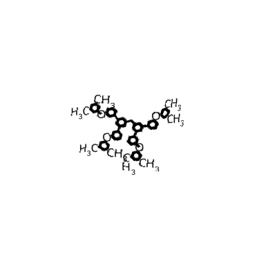 Cc1cc(C)cc(Oc2cccc(-c3cc(Cc4cc(-c5cccc(Oc6cc(C)cc(C)c6)c5)cc(-c5cccc(Oc6cc(C)cc(C)c6)c5)c4)cc(-c4cccc(Oc5cc(C)cc(C)c5)c4)c3)c2)c1